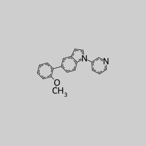 COc1ccccc1-c1ccc2c(ccn2-c2cccnc2)c1